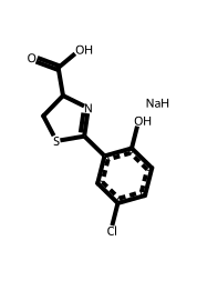 O=C(O)C1CSC(c2cc(Cl)ccc2O)=N1.[NaH]